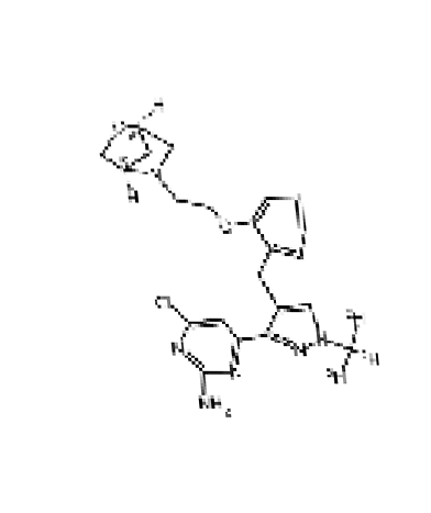 [2H]C([2H])([2H])n1cc(Cc2ccccc2OCCN2C[C@H]3C[C@@H]2CO3)c(-c2cc(Cl)nc(N)n2)n1